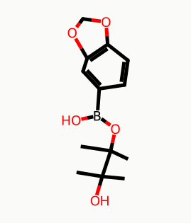 CC(C)(O)C(C)(C)OB(O)c1ccc2c(c1)OCO2